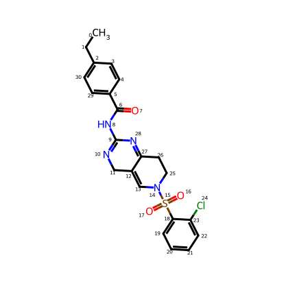 CCc1ccc(C(=O)NC2=NCC3=CN(S(=O)(=O)c4ccccc4Cl)CCC3=N2)cc1